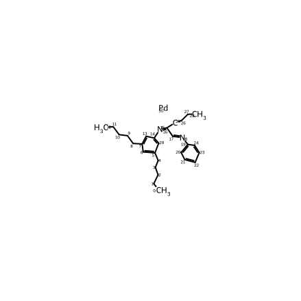 CCCCCc1cc(CCCCC)cc(N=C(C=Nc2ccccc2)CCCC)c1.[Pd]